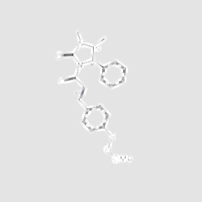 COOSc1ccc(/C=C/C(=O)N2C(=O)N(C)[C@@H](C)[C@H]2c2ccccc2)cc1